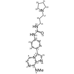 CNc1nccn2c(-c3ccc(NC(=O)NCCCN4CCCC4)cc3)cnc12